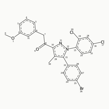 COc1cccc(CC(=O)c2nn(-c3ccc(Cl)cc3Cl)c(-c3ccc(Br)cc3)c2C)c1